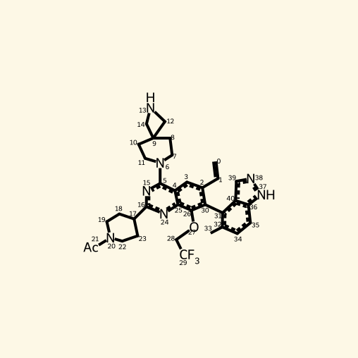 C=Cc1cc2c(N3CCC4(CC3)CNC4)nc(C3CCN(C(C)=O)CC3)nc2c(OCC(F)(F)F)c1-c1c(C)ccc2[nH]ncc12